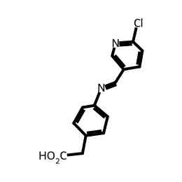 O=C(O)Cc1ccc(N=Cc2ccc(Cl)nc2)cc1